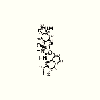 O=C(Nc1c2c(cc3c1CCC3)CCC2)NS(=O)(=O)c1cc2nc[nH]c2cc1F